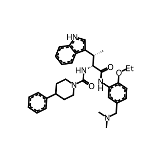 CCOc1ccc(CN(C)C)cc1NC(=O)[C@H](NC(=O)N1CCC(c2ccccc2)CC1)[C@@H](C)c1c[nH]c2ccccc12